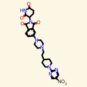 O=C1CCC(N2C(=O)c3ccc(N4CCN(CCC5CCN(c6ncc([N+](=O)[O-])cn6)CC5)CC4)cc3C2=O)C(=O)N1